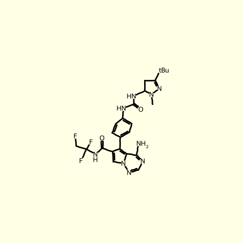 CN1N=C(C(C)(C)C)CC1NC(=O)Nc1ccc(-c2c(C(=O)NC(F)(F)CF)cn3ncnc(N)c23)cc1